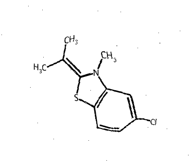 CC(C)=C1Sc2ccc(Cl)cc2N1C